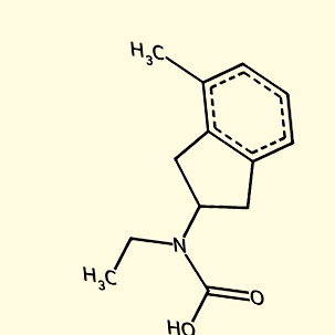 CCN(C(=O)O)C1Cc2cccc(C)c2C1